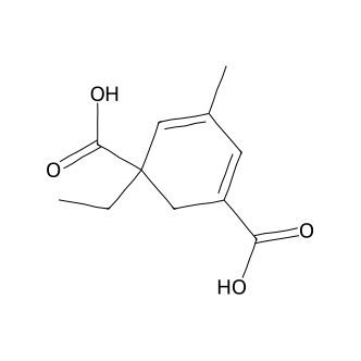 CCC1(C(=O)O)C=C(C)C=C(C(=O)O)C1